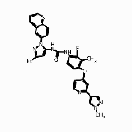 CCc1cc(NC(=O)Nc2ccc(Oc3ccnc(-c4cnn(C)c4)c3)c(C)c2F)n(-c2ccc3ncccc3c2)n1